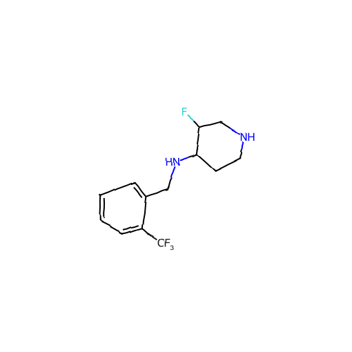 FC1CNCCC1NCc1ccccc1C(F)(F)F